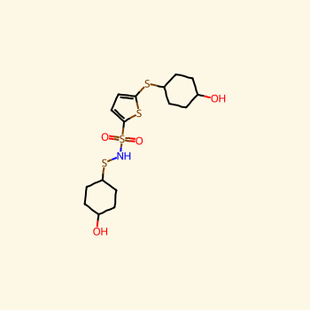 O=S(=O)(NSC1CCC(O)CC1)c1ccc(SC2CCC(O)CC2)s1